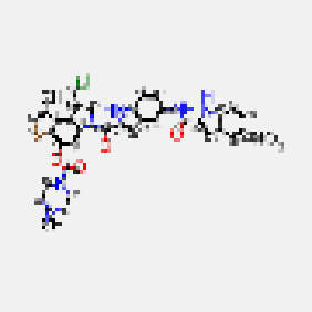 Cc1csc2c(OC(=O)N3CCN(C)CC3)cc3c(c12)[C@@H](CCl)CN3C(=O)c1cc2cc(NC(=O)c3cc4cc([N+](=O)[O-])ccc4[nH]3)ccc2[nH]1